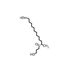 CCCCCCCCCCCCCCCCCCCCCC(C)[S+]([O-])CCCO